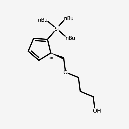 CCCC[Si](CCCC)(CCCC)C1=CC=C[C@@H]1COCCCO